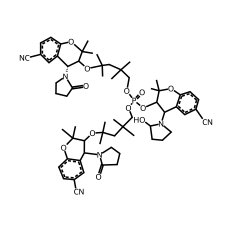 CC(C)(COP(=O)(OCC(C)(C)CC(C)(C)OC1[C@H](N2CCCC2=O)c2cc(C#N)ccc2OC1(C)C)OC1C(N2CCCC2O)c2cc(C#N)ccc2OC1(C)C)CC(C)(C)OC1C(N2CCCC2=O)c2cc(C#N)ccc2OC1(C)C